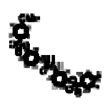 COc1ccc(S(=O)(=O)Oc2cccc(NC(=O)Nc3cccc(OS(=O)(=O)c4ccc(C)cc4)c3)c2)cc1